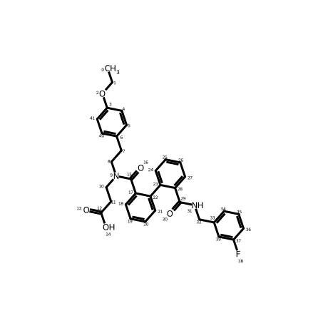 CCOc1ccc(CCN(CCC(=O)O)C(=O)c2ccccc2-c2ccccc2C(=O)NCc2cccc(F)c2)cc1